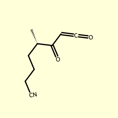 C[C@@H](CCCC#N)C(=O)C=C=O